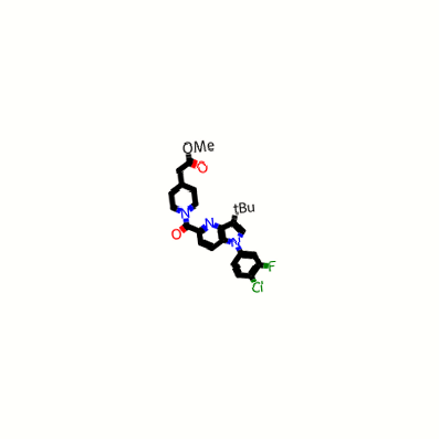 COC(=O)CC1CCN(C(=O)c2ccc3c(n2)c(C(C)(C)C)cn3-c2ccc(Cl)c(F)c2)CC1